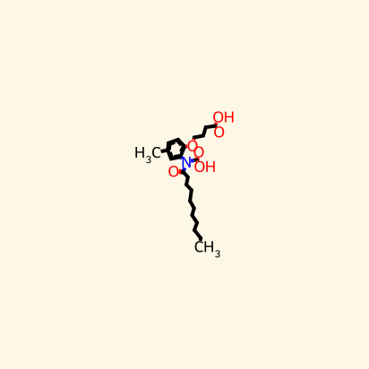 CCCCCCCCCCC(=O)N(C(=O)O)c1cc(C)ccc1OCCCC(=O)O